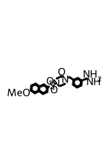 COc1ccc2cc(S(=O)(=O)N3CCN(Cc4cccc(C(=N)N)c4)C(=O)C3)ccc2c1